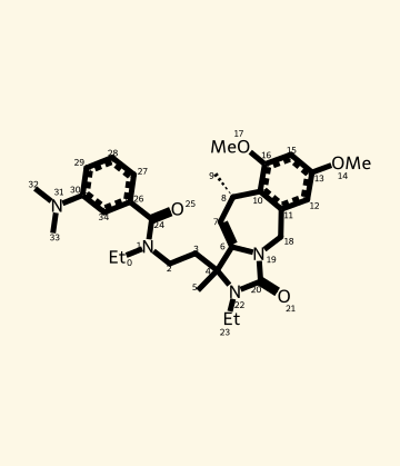 CCN(CCC1(C)C2=C[C@H](C)c3c(cc(OC)cc3OC)CN2C(=O)N1CC)C(=O)c1cccc(N(C)C)c1